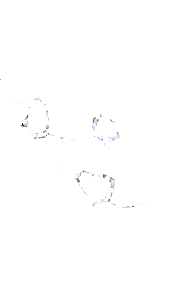 Cc1cc(OC(c2ccc(OC(F)(F)F)cc2)n2ccc(C(C)C)n2)ccc1CCC(=O)O